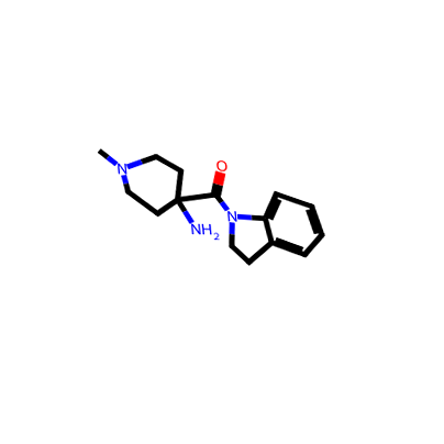 CN1CCC(N)(C(=O)N2CCc3ccccc32)CC1